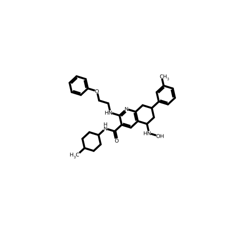 Cc1cccc(C2Cc3nc(NCCOc4ccccc4)c(C(=O)NC4CCC(C)CC4)cc3C(NO)C2)c1